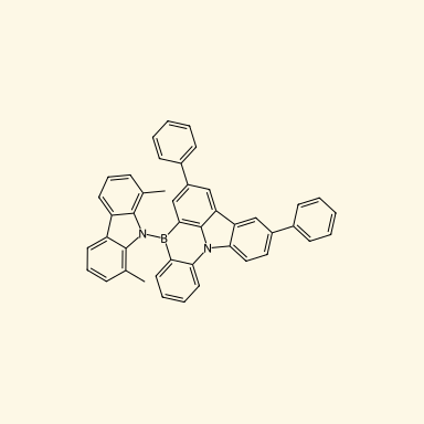 Cc1cccc2c3cccc(C)c3n(B3c4ccccc4-n4c5ccc(-c6ccccc6)cc5c5cc(-c6ccccc6)cc3c54)c12